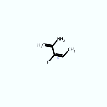 C=C(N)/C(F)=C\C